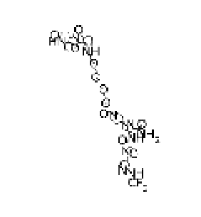 NC(=O)c1nn(C2CCN(C(=O)COCCOCCOCCOCCNc3cccc4c3C(=O)N(C3CCC(=O)NC3=O)C4=O)CC2)cc1NC(=O)c1coc(-c2ccnc(NCC(F)(F)F)c2)n1